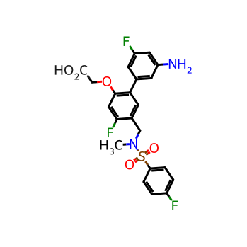 CN(Cc1cc(-c2cc(N)cc(F)c2)c(OCC(=O)O)cc1F)S(=O)(=O)c1ccc(F)cc1